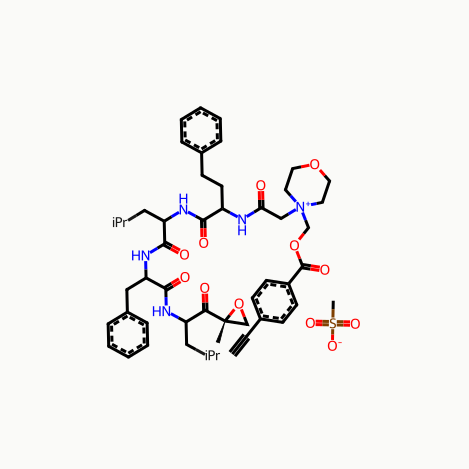 C#Cc1ccc(C(=O)OC[N+]2(CC(=O)NC(CCc3ccccc3)C(=O)NC(CC(C)C)C(=O)NC(Cc3ccccc3)C(=O)NC(CC(C)C)C(=O)[C@@]3(C)CO3)CCOCC2)cc1.CS(=O)(=O)[O-]